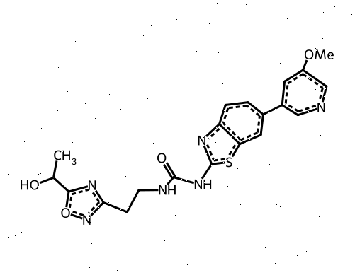 COc1cncc(-c2ccc3nc(NC(=O)NCCc4noc(C(C)O)n4)sc3c2)c1